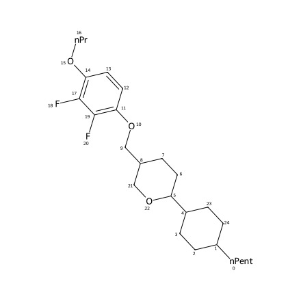 CCCCCC1CCC(C2CCC(COc3ccc(OCCC)c(F)c3F)CO2)CC1